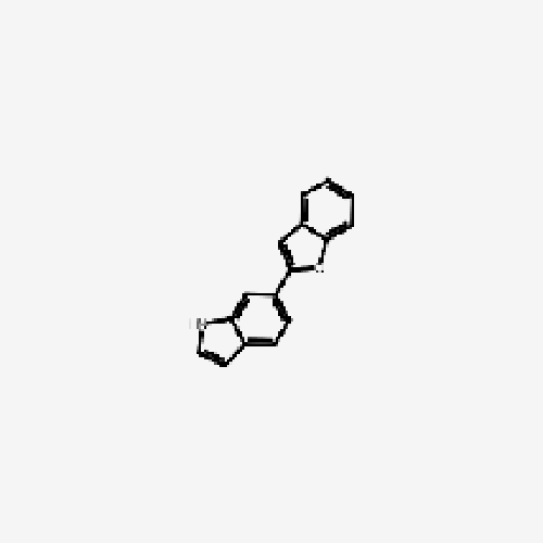 [c]1ccc2oc(-c3ccc4cc[nH]c4c3)cc2c1